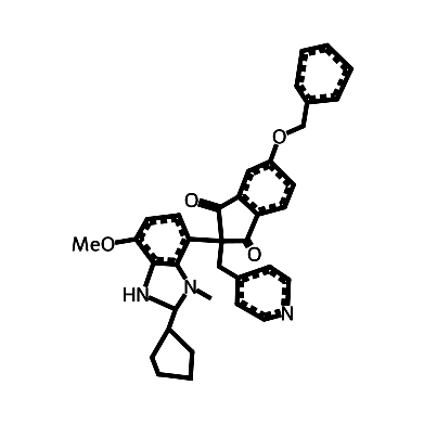 COc1ccc(C2(Cc3ccncc3)C(=O)c3ccc(OCc4ccccc4)cc3C2=O)c2c1NC(C1CCCC1)N2C